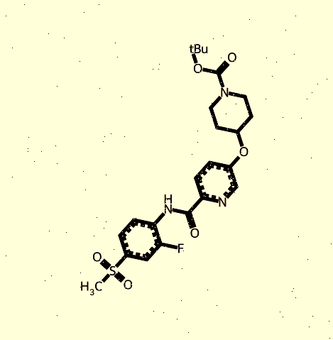 CC(C)(C)OC(=O)N1CCC(Oc2ccc(C(=O)Nc3ccc(S(C)(=O)=O)cc3F)nc2)CC1